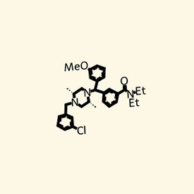 CCN(CC)C(=O)c1cccc(C(c2cccc(OC)c2)N2C[C@@H](C)N(Cc3cccc(Cl)c3)C[C@H]2C)c1